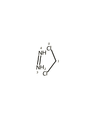 ClCCl.N=N